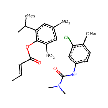 C/C=C/C(=O)Oc1c(C(C)CCCCCC)cc([N+](=O)[O-])cc1[N+](=O)[O-].COc1ccc(NC(=O)N(C)C)cc1Cl